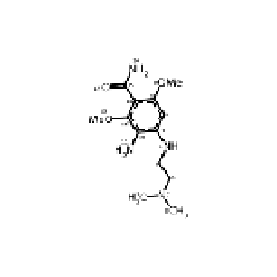 COc1cc(NCCN(C)C)c(N)c(OC)c1C(N)=O